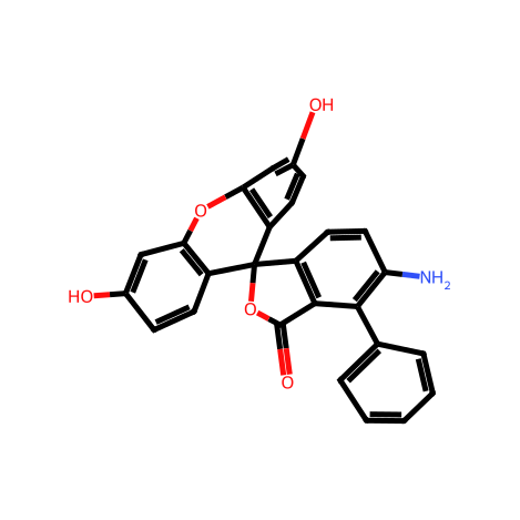 Nc1ccc2c(c1-c1ccccc1)C(=O)OC21c2ccc(O)cc2Oc2cc(O)ccc21